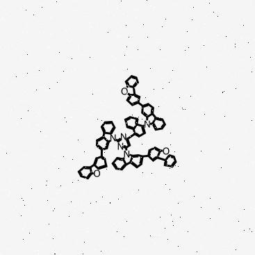 c1ccc2c(c1)oc1ccc(-c3ccc4c5ccccc5n(-c5cc(-c6ccc(-n7c8ccccc8c8ccc(-c9ccc%10oc%11ccccc%11c%10c9)cc87)c7ccccc67)nc(-n6c7ccccc7c7ccc(-c8ccc9oc%10ccccc%10c9c8)cc76)n5)c4c3)cc12